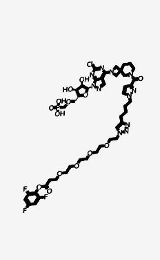 O=C(CCOCCOCCOCCOCCn1cc(CCCCn2ccc(C(=O)N3CCCC4(C3)CN(c3nc(Cl)nc5c3cnn5[C@@H]3O[C@H](COCP(=O)(O)O)[C@@H](O)[C@H]3O)C4)n2)nn1)Oc1c(F)cc(F)cc1F